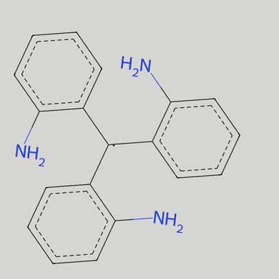 Nc1ccccc1[C](c1ccccc1N)c1ccccc1N